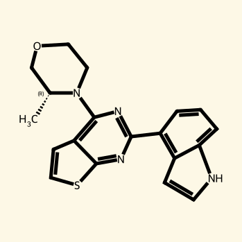 C[C@@H]1COCCN1c1nc(-c2cccc3[nH]ccc23)nc2sccc12